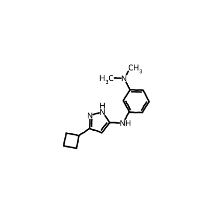 CN(C)c1cccc(Nc2cc(C3CCC3)n[nH]2)c1